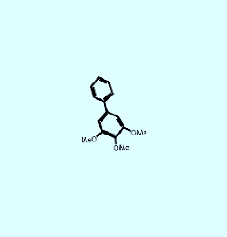 COc1cc(-c2ccccc2)cc(OC)c1OC